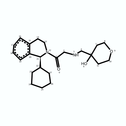 O=C(CNCC1(O)CCOCC1)N1CCc2ccccc2[C@@H]1C1CCCCC1